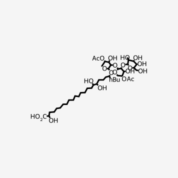 CCCCC(CCCC(O)C(O)CCCCCCCCCCCCCCC(O)C(=O)O)OC1OCC(OC(C)=O)C(O)C1OC1OCC(OC(C)=O)C(O)C1OC1OC(CO)C(O)C(O)C1O